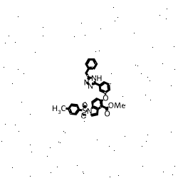 COC(=O)c1c(Oc2cccc(-c3nnc(Cc4ccccc4)[nH]3)c2)ccc2c1ccn2S(=O)(=O)c1ccc(C)cc1